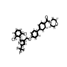 O=C(C1=CC=C(c2ccc(OCc3cc(C(F)(F)F)nn3-c3c(Cl)cccc3Cl)cc2)CC1)N1CCOCC1